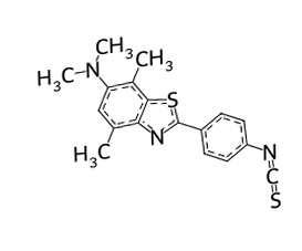 Cc1cc(N(C)C)c(C)c2sc(-c3ccc(N=C=S)cc3)nc12